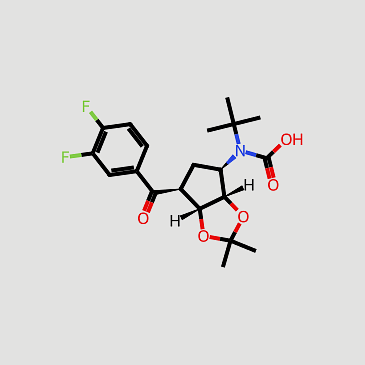 CC1(C)O[C@@H]2[C@H](O1)[C@@H](C(=O)c1ccc(F)c(F)c1)C[C@H]2N(C(=O)O)C(C)(C)C